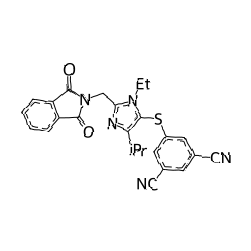 CCn1c(CN2C(=O)c3ccccc3C2=O)nc(C(C)C)c1Sc1cc(C#N)cc(C#N)c1